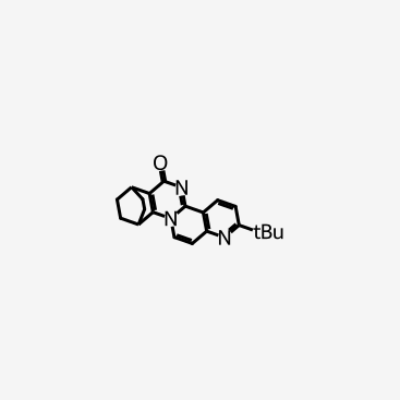 CC(C)(C)c1ccc2c(ccn3c4c(c(=O)nc23)C2CCC4CC2)n1